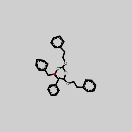 c1ccc(CCOC(OCCc2ccccc2)OC(OCCc2ccccc2)OCCc2ccccc2)cc1